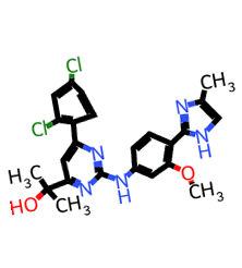 COc1cc(Nc2nc(-c3ccc(Cl)cc3Cl)cc(C(C)(C)O)n2)ccc1-c1nc(C)c[nH]1